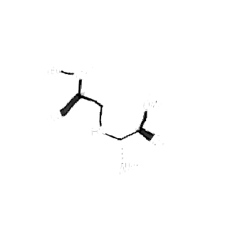 CCCCCC[C@H](NCC(=O)OC(C)(C)C)C(=O)OC